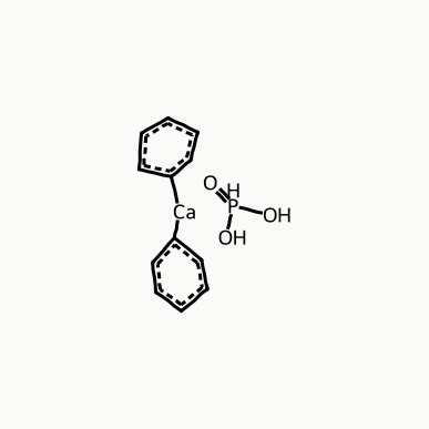 O=[PH](O)O.c1cc[c]([Ca][c]2ccccc2)cc1